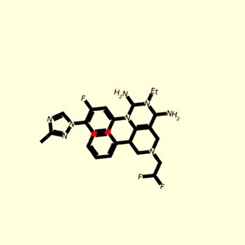 CCN1C(N)C2=C(C(c3ccccc3)CN(CC(F)F)C2)N(c2ccc(-n3cnc(C)n3)c(F)c2)C1N